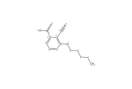 CCCCCOc1cccc([N+](=O)[O-])c1C#N